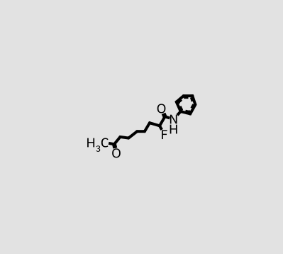 CC(=O)CCCCCC(F)C(=O)Nc1ccccc1